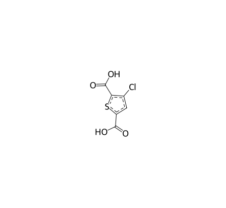 O=C(O)c1cc(Cl)c(C(=O)O)s1